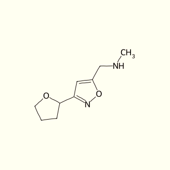 CNCc1cc(C2CCCO2)no1